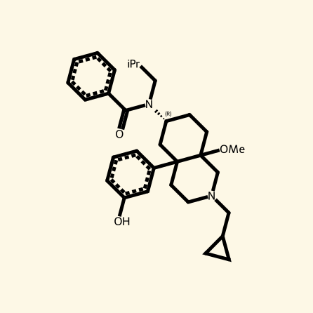 COC12CC[C@@H](N(CC(C)C)C(=O)c3ccccc3)CC1(c1cccc(O)c1)CCN(CC1CC1)C2